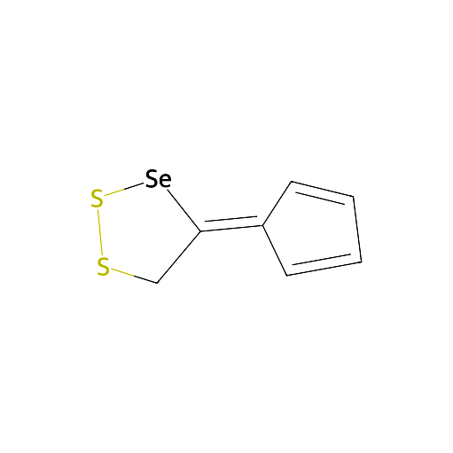 C1=CC(=C2CSS[Se]2)C=C1